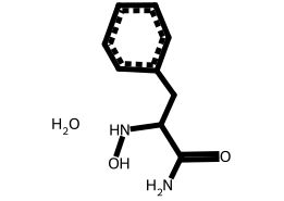 NC(=O)C(Cc1ccccc1)NO.O